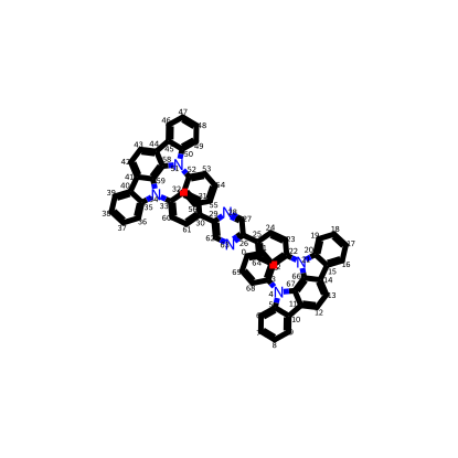 c1ccc(-n2c3ccccc3c3ccc4c5ccccc5n(-c5ccc(-c6cnc(-c7ccc(-n8c9ccccc9c9ccc%10c%11ccccc%11n(-c%11ccccc%11)c%10c98)cc7)cn6)cc5)c4c32)cc1